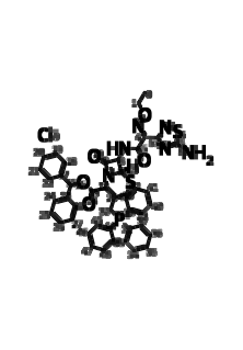 CCON=C(C(=O)NC1C(=O)N2C(C(=O)OC(c3ccccc3)c3ccccc3)=C(C[P+](c3ccccc3)(c3ccccc3)c3ccccc3)CS[C@@H]12)c1nsc(N)n1.[Cl-]